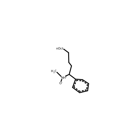 CCCCCCCCCCCC(c1ccccc1)[NH+](C)[O-]